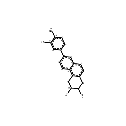 CCC1Cc2ccc3cc(-c4ccc(C#N)c(F)c4)ccc3c2CC1F